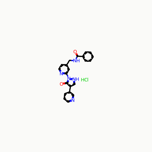 Cl.O=C(NCc1ccnc(-n2[nH]cc(-c3cccnc3)c2=O)c1)c1ccccc1